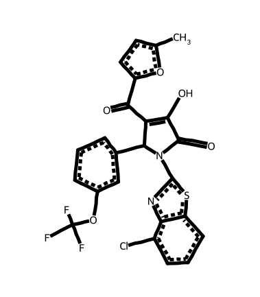 Cc1ccc(C(=O)C2=C(O)C(=O)N(c3nc4c(Cl)cccc4s3)C2c2cccc(OC(F)(F)F)c2)o1